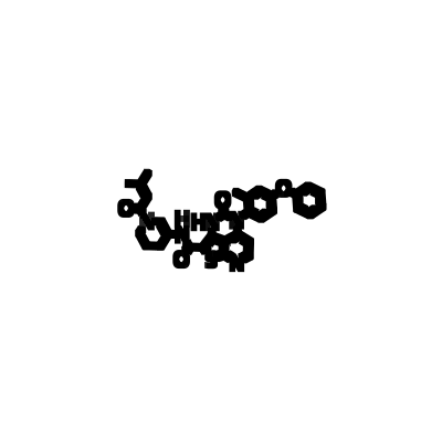 CC(C)=CC(=O)N1C=C(NC(=O)c2sc3nccc4c3c2NC(=O)N4c2ccc(Oc3ccccc3)cc2C)CCC1